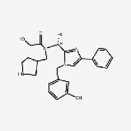 CC(C)(C)[C@H](c1nc(-c2ccccc2)cn1Cc1cccc(O)c1)N(CC1CCNC1)C(=O)CO